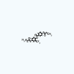 C=CC(=O)Sc1ccc(C(=O)Oc2ccc(SC(=O)C=C)cc2C(F)(F)F)cc1